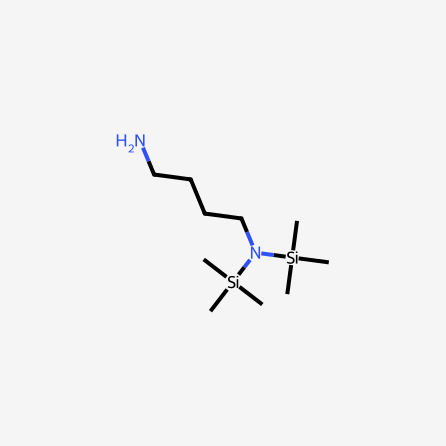 C[Si](C)(C)N(CCCCN)[Si](C)(C)C